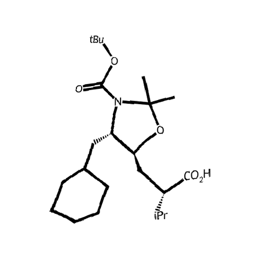 CC(C)[C@H](C[C@@H]1OC(C)(C)N(C(=O)OC(C)(C)C)[C@H]1CC1CCCCC1)C(=O)O